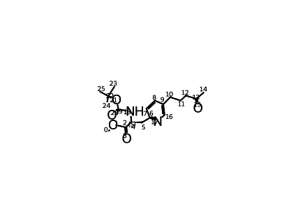 COC(=O)[C@H](Cc1ccc(CCCC(C)=O)cn1)NC(=O)OC(C)(C)C